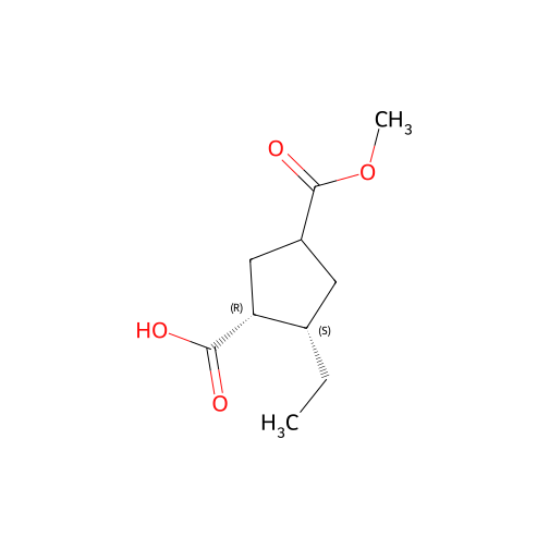 CC[C@H]1CC(C(=O)OC)C[C@H]1C(=O)O